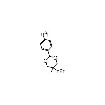 CCCc1ccc(C2OCC(C)(CCC)CO2)cc1